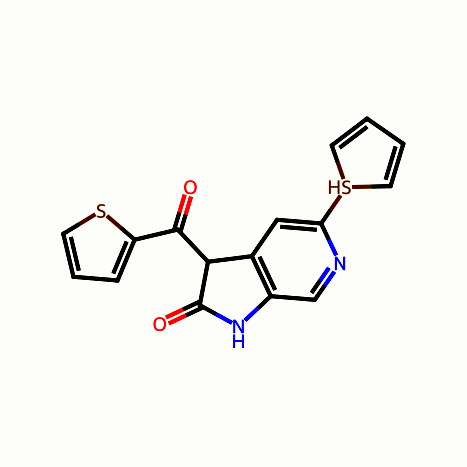 O=C1Nc2cnc([SH]3C=CC=C3)cc2C1C(=O)c1cccs1